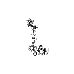 O=C1CCC(N2Cc3c(C#CCCCCCCNC45CC6CC(CC4C6)C5)cccc3C2=O)C(=O)N1